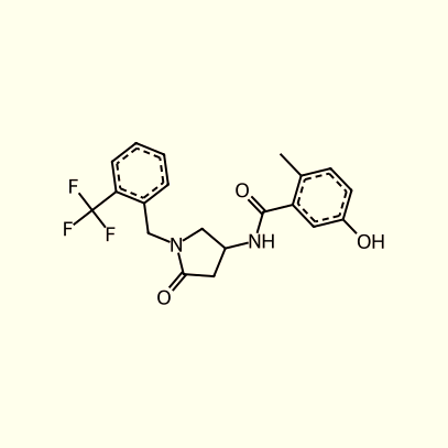 Cc1ccc(O)cc1C(=O)NC1CC(=O)N(Cc2ccccc2C(F)(F)F)C1